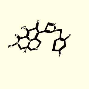 CC(C)N1C[C@@H]2COCc3c(-c4cnn(Cc5ccc(F)cc5F)c4)c(=O)c(O)c(n32)C1=O